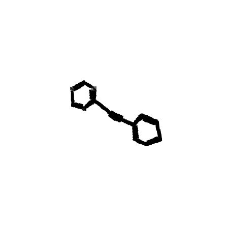 C(#Cc1ncncn1)c1ccccc1